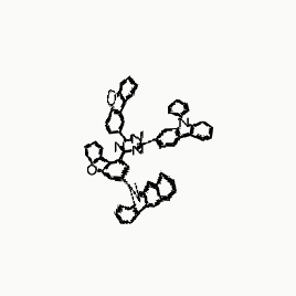 c1ccc(-n2c3ccccc3c3ccc(-c4nc(-c5ccc6oc7ccccc7c6c5)nc(-c5cc(-n6c7ccccc7c7cc8ccccc8cc76)cc6oc7ccccc7c56)n4)cc32)cc1